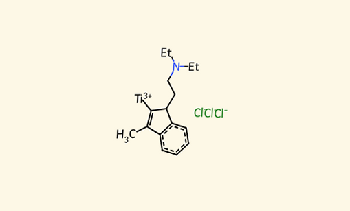 CCN(CC)CCC1[C]([Ti+3])=C(C)c2ccccc21.[Cl-].[Cl-].[Cl-]